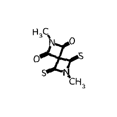 CN1C(=O)C2(C1=O)C(=S)N(C)C2=S